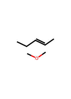 CC=CCC.COC